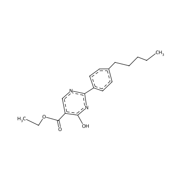 CCCCCc1ccc(-c2ncc(C(=O)OCC)c(O)n2)cc1